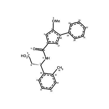 COc1cc(C(=O)N[C@@H](CC(=O)O)c2ccccc2C)nn1-c1ccccc1